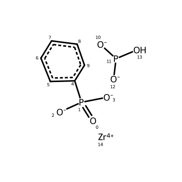 O=P([O-])([O-])c1ccccc1.[O-]P([O-])O.[Zr+4]